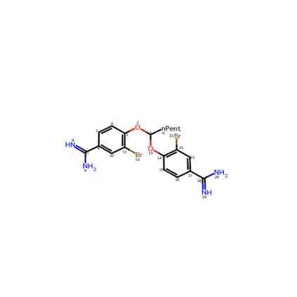 CCCCCC(Oc1ccc(C(=N)N)cc1Br)Oc1ccc(C(=N)N)cc1Br